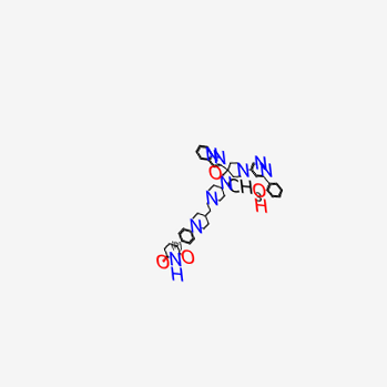 CN(C(=O)C1(c2cc3ccccn3n2)CCN(c2cnnc(-c3ccccc3O)c2)CC1)C1CCN(CCC2CCN(c3ccc([C@H]4CCC(=O)NC4=O)cc3)CC2)CC1